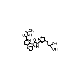 C[C@@H](NC(=O)c1ccc2c(n1)N(C(=O)Nc1cc(CC[C@@H](O)CO)ccn1)[C@H]1CCN2C1)C(F)(F)F